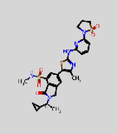 CNS(=O)(=O)c1cc(-c2sc(Nc3cccc(N4CCCS4(=O)=O)n3)nc2C)cc2c1C(=O)N([C@@H](C)C1CC1)C2